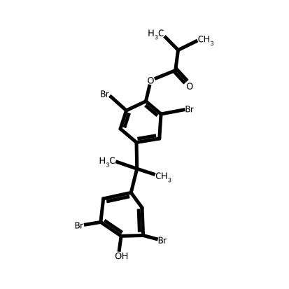 CC(C)C(=O)Oc1c(Br)cc(C(C)(C)c2cc(Br)c(O)c(Br)c2)cc1Br